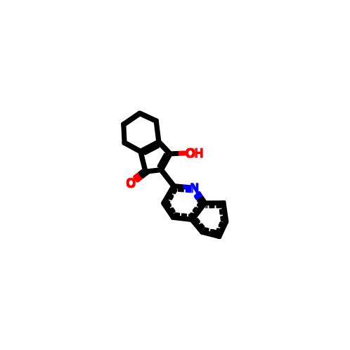 O=C1C2=C(CCCC2)C(O)=C1c1ccc2ccccc2n1